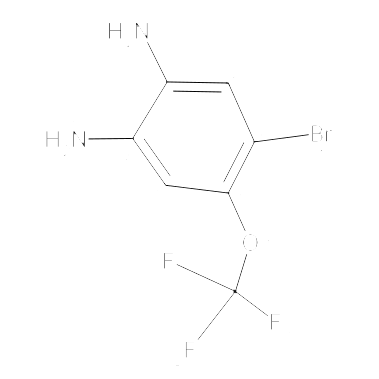 Nc1cc(Br)c(OC(F)(F)F)cc1N